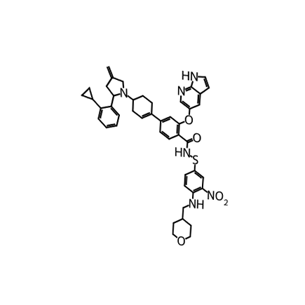 C=C1CC(c2ccccc2C2CC2)N(C2CC=C(c3ccc(C(=O)NSc4ccc(NCC5CCOCC5)c([N+](=O)[O-])c4)c(Oc4cnc5[nH]ccc5c4)c3)CC2)C1